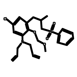 C=CCN(CC=C)c1cc(Cl)cc(CC(C)CS(=O)(=O)c2ccccc2)c1OCOC